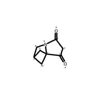 O=C1CC(=O)C23CC(CN12)C3